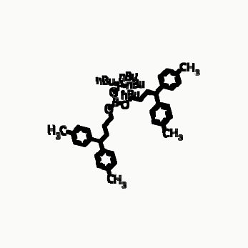 CCCCP(CCCC)(CCCC)(CCCC)OB(OCCCC(c1ccc(C)cc1)c1ccc(C)cc1)OCCCC(c1ccc(C)cc1)c1ccc(C)cc1